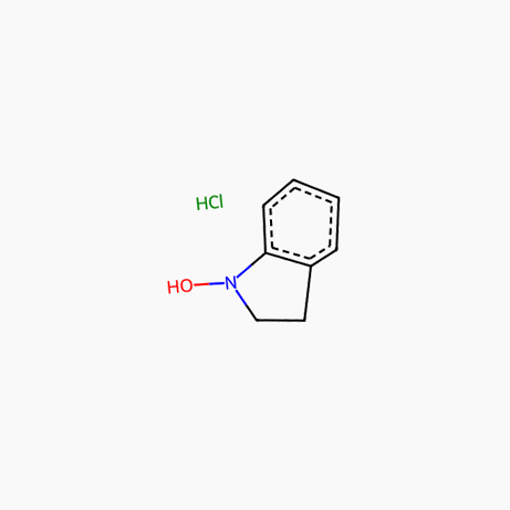 Cl.ON1CCc2ccccc21